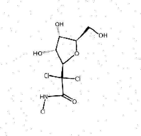 O=C(NCl)C(Cl)(Cl)[C@@H]1O[C@H](CO)[C@@H](O)[C@H]1O